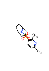 Cc1nc(C(F)(F)F)ccc1S(=O)(=O)N1C2CCC1CC(=O)C2